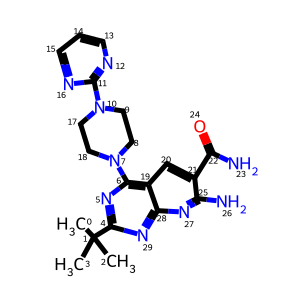 CC(C)(C)c1nc(N2CCN(c3ncccn3)CC2)c2cc(C(N)=O)c(N)nc2n1